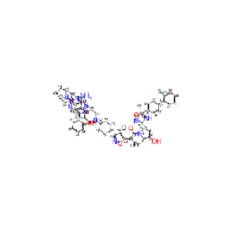 CC(C)[C@@H](C(=O)N1C[C@H](O)C[C@H]1C1=NO[C@@](C)(c2ccc(-c3ccccc3F)cc2)N1)c1onc([C@H]2CC[C@H](N3CCC(c4cnc(N5C6CCC5CN(c5cc(-c7ccccc7O)nnc5N)C6)nc4)CC3)CC2)c1Cl